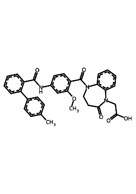 COc1cc(NC(=O)c2ccccc2-c2ccc(C)cc2)ccc1C(=O)N1CCC(=O)N(CC(=O)O)c2ccccc21